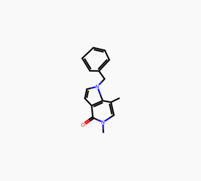 Cc1cn(C)c(=O)c2ccn(Cc3ccccc3)c12